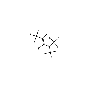 CC(=C(F)N(C(F)(F)F)C(F)(F)F)C(F)(F)F